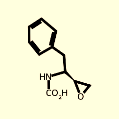 O=C(O)NC(Cc1ccccc1)[C@H]1CO1